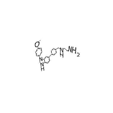 COc1ccc(N2CNc3ccc(-c4ccc(CNCCN)cc4)cc32)cc1